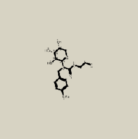 COc1ccc(CN(C(=O)NCCCl)[C@@H]2OC[C@@H](O)[C@@H](O)[C@@H]2O)cc1